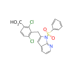 O=C(O)c1ccc(Cl)c(Cc2cc3cccnc3n2S(=O)(=O)c2ccccc2)c1Cl